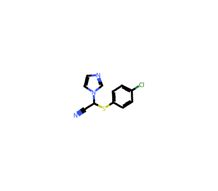 N#CC(Sc1ccc(Cl)cc1)n1ccnc1